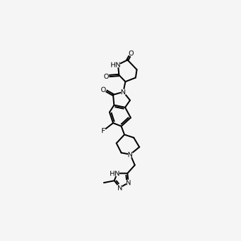 Cc1nnc(CN2CCC(c3cc4c(cc3F)C(=O)N(C3CCC(=O)NC3=O)C4)CC2)[nH]1